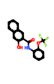 O=C(Nc1ccccc1OC(F)(F)F)c1cc2ccccc2cc1O